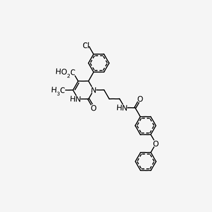 CC1=C(C(=O)O)C(c2cccc(Cl)c2)N(CCCNC(=O)c2ccc(Oc3ccccc3)cc2)C(=O)N1